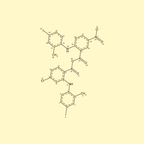 Cc1cc(I)ccc1Nc1cc(Cl)ccc1C(=O)OC(=O)c1cc([N+](=O)[O-])ccc1Nc1ccc(I)cc1C